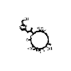 C/C(=C\c1csc(CO)n1)C1C[C@@H]2O[C@]2(C)CCCC(C)[C@H](O)[C@@H](C)C(=O)C(C)(C)[C@@H](O)CC(=O)O1